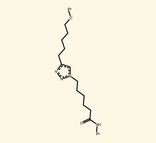 CC(C)NC(=O)CCCCCn1cc(CCCCCOC(C)C)nn1